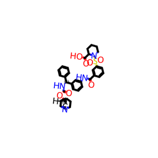 O=C(N[C@@H](c1ccccc1)c1cccc(NC(=O)c2cccc(S(=O)(=O)N3CCCCC3C(=O)O)c2)c1)O[C@H]1CN2CCC1CC2